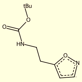 CC(C)(C)OC(=O)NCCc1c[c]no1